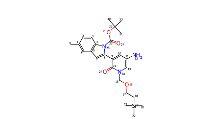 Cc1ccc2c(c1)cc(-c1cc(N)cn(COCC[Si](C)(C)C)c1=O)n2C(=O)OC(C)(C)C